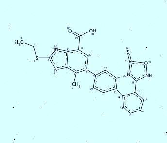 CCSc1nc2c(C)c(-c3ccc(-c4ccccc4-c4nc(=S)o[nH]4)cc3)cc(C(=O)O)c2[nH]1